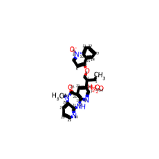 CCC(COc1cc[n+]([O-])c2ccccc12)c1cnc2c(c1)C(=O)N(C)c1cccnc1N2.O.O